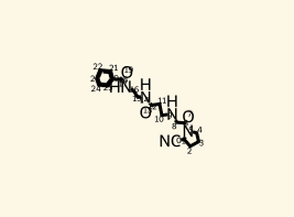 N#CC1CCCN1C(=O)CNCCC(=O)NCCNC(=O)c1ccccc1